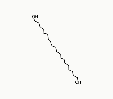 O[CH]CCCCCCCCCCCCCCCCCCCO